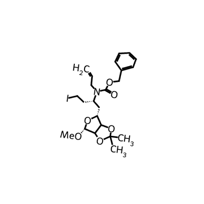 C=CCN(C(=O)OCc1ccccc1)[C@@H](CCI)C[C@H]1O[C@@H](OC)C2OC(C)(C)OC21